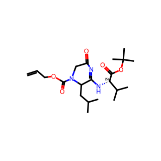 C=CCOC(=O)N1CC(=O)N=C(N[C@H](C(=O)OC(C)(C)C)C(C)C)C1CC(C)C